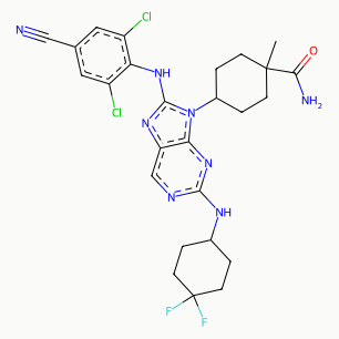 CC1(C(N)=O)CCC(n2c(Nc3c(Cl)cc(C#N)cc3Cl)nc3cnc(NC4CCC(F)(F)CC4)nc32)CC1